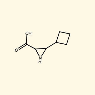 O=C(O)C1NC1C1CCC1